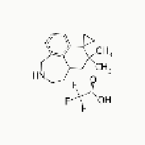 CC1(C)CC2CCNCc3cccc(c32)C12CC2.O=C(O)C(F)(F)F